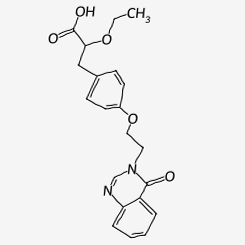 CCOC(Cc1ccc(OCCn2cnc3ccccc3c2=O)cc1)C(=O)O